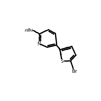 CCCCc1ccc(-c2ccc(Br)s2)cn1